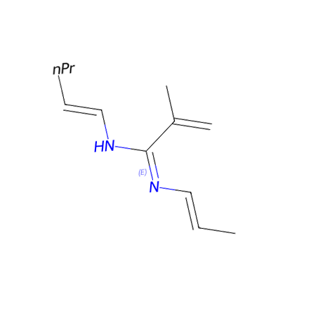 C=C(C)/C(=N\C=CC)NC=CCCC